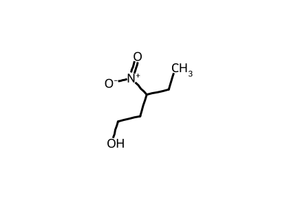 CCC(CCO)[N+](=O)[O-]